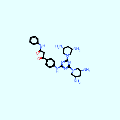 N[C@@H]1C[C@H](N)CN(c2nc(Nc3ccc(C(=O)CC(=O)Nc4ccccc4)cc3)nc(N3C[C@H](N)C[C@H](N)C3)n2)C1